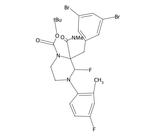 CNC(=O)C1(Cc2cc(Br)cc(Br)c2)C(F)N(c2ccc(F)cc2C)CCN1C(=O)OC(C)(C)C